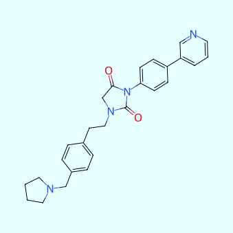 O=C1CN(CCc2ccc(CN3CCCC3)cc2)C(=O)N1c1ccc(-c2cccnc2)cc1